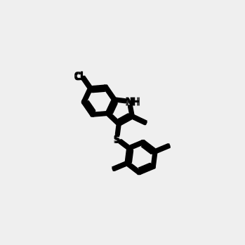 Cc1ccc(C)c(Sc2c(C)[nH]c3cc(Cl)ccc23)c1